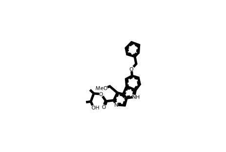 COCc1c(C(=O)OC(C)C(C)O)ncc2[nH]c3ccc(OCc4ccccc4)cc3c12